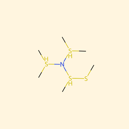 CS[SH](C)N([SH](C)C)[SH](C)C